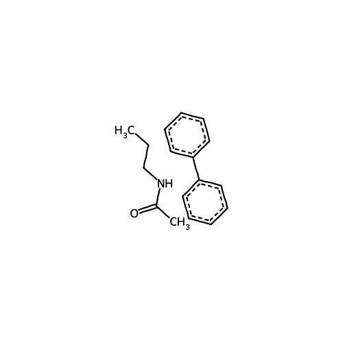 CCCNC(C)=O.c1ccc(-c2ccccc2)cc1